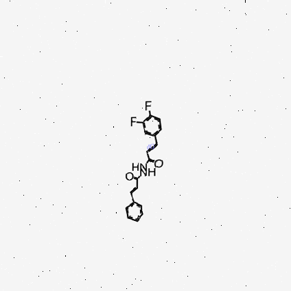 O=C(C=Cc1ccccc1)NNC(=O)/C=C/c1ccc(F)c(F)c1